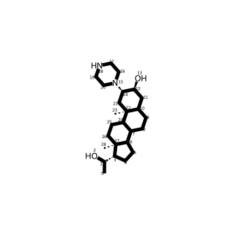 CC(O)[C@H]1CCC2C3CCC4C[C@H](O)[C@@H](N5CCNCC5)C[C@]4(C)C3CC[C@@]21C